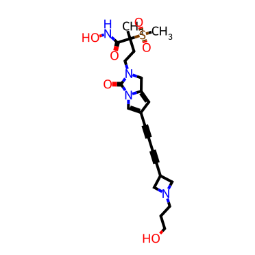 CC(CCN1Cc2cc(C#CC#CC3CN(CCCO)C3)cn2C1=O)(C(=O)NO)S(C)(=O)=O